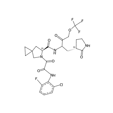 O=C(Nc1c(F)cccc1Cl)C(=O)N1CC2(CC2)C[C@H]1C(=O)NC(C[C@@H]1CCNC1=O)C(=O)COC(F)(F)F